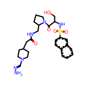 NN=CN1CCC(CC(=O)NCC2CCCN2C(=O)C(CO)NS(=O)(=O)c2ccc3ccccc3c2)CC1